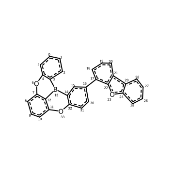 c1ccc2c(c1)Oc1cccc3c1B2c1cc(-c2cccc4c2oc2ccccc24)ccc1O3